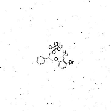 Cc1c(Br)cccc1OCC(COS(C)(=O)=O)c1ccccc1